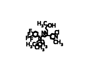 Cc1cc(-c2cc(N(C(=O)CC(C)(C)C)c3ccc(F)c(C(F)(F)F)c3)nn2CCC(C)O)cc(Cl)n1